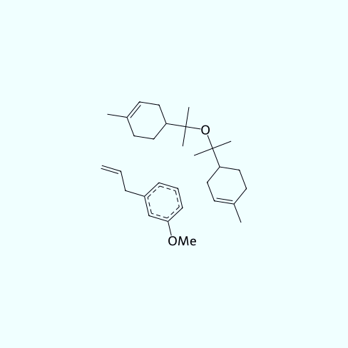 C=CCc1cccc(OC)c1.CC1=CCC(C(C)(C)OC(C)(C)C2CC=C(C)CC2)CC1